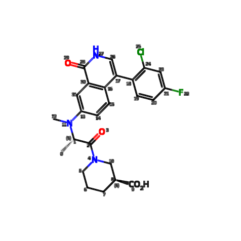 C[C@@H](C(=O)N1CCC[C@H](C(=O)O)C1)N(C)c1ccc2c(-c3ccc(F)cc3Cl)c[nH]c(=O)c2c1